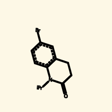 CC(C)N1C(=O)CCc2cc(Br)ccc21